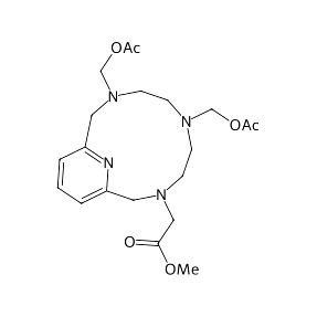 COC(=O)CN1CCN(COC(C)=O)CCN(COC(C)=O)Cc2cccc(n2)C1